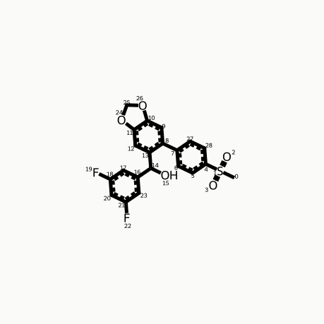 CS(=O)(=O)c1ccc(-c2cc3c(cc2C(O)c2cc(F)cc(F)c2)OCO3)cc1